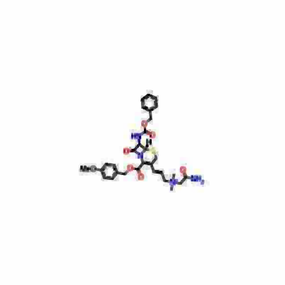 COc1ccc(COC(=O)C2=C(/C=C/C[N+](C)(C)CC(N)=O)CS[C@H]3[C@H](NC(=O)OCc4ccccc4)C(=O)N23)cc1